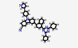 N#Cc1ccc2c(c1)c1cc(-c3ccc(-c4nc(-c5ccccc5)nc(-c5ccccc5)n4)c4ccccc34)ccc1n2-c1ccc(-c2cccnc2)cc1